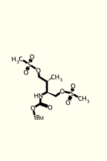 C[C@@H](COS(C)(=O)=O)[C@@H](COS(C)(=O)=O)NC(=O)OC(C)(C)C